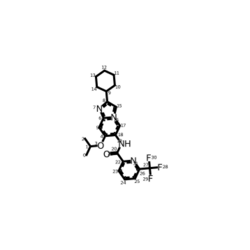 CC(C)Oc1cc2nc(C3CCCCC3)cn2cc1NC(=O)c1cccc(C(F)(F)F)n1